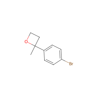 CC1(c2ccc(Br)cc2)CCO1